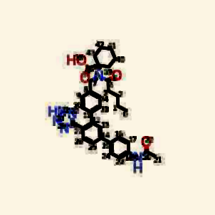 CCCCC(=O)N(Cc1ccc(-c2cc(-c3ccc(NC(C)=O)cc3)ccc2-c2nn[nH]n2)cc1)C1(C(=O)O)CCCCC1